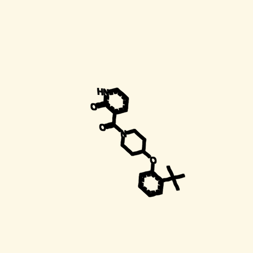 CC(C)(C)c1ccccc1OC1CCN(C(=O)c2ccc[nH]c2=O)CC1